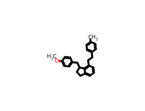 COc1ccc(CC2CCc3cccc(CCc4ccc(C)cc4)c32)cc1